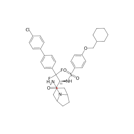 NC1CC2CCC(C1)N2C(=O)[C@H](NS(=O)(=O)c1ccc(OCC2CCCCC2)cc1)C(F)(F)c1ccc(-c2ccc(Cl)cc2)cc1